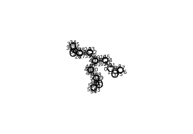 C1=CC2Oc3ccccc3C2C=C1c1cccc(-c2cc(-c3cccc(-c4ccc5oc6ccccc6c5c4)c3)cc(-c3cccc(-c4ccc5oc6ccccc6c5c4)c3)c2)c1